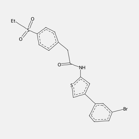 CCS(=O)(=O)c1ccc(CC(=O)Nc2cc(-c3cccc(Br)c3)cs2)cc1